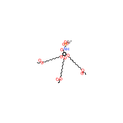 C=CC(=O)OCCCCCCCCCCCOc1cc(C(=O)NCCS(=O)(=O)[O-])cc(OCCCCCCCCCCCOC(=O)C=C)c1OCCCCCCCCCCCOC(=O)C=C.[Li+]